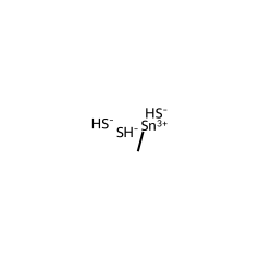 [CH3][Sn+3].[SH-].[SH-].[SH-]